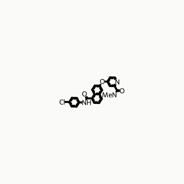 CNC(=O)c1cc(Oc2ccc3c(C(=O)Nc4ccc(Cl)cc4)cccc3c2)ccn1